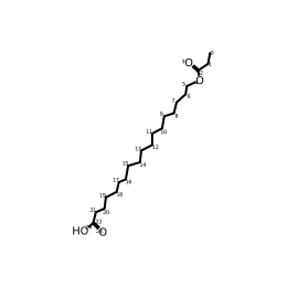 CCC(=O)OCCCCCCCCCCCCCCCCCC(=O)O